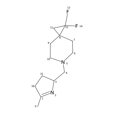 CC1=NC(CN2CCC3(CC2)CC3(F)F)CC1